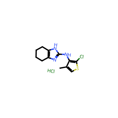 Cc1csc(Cl)c1Nc1nc2c([nH]1)CCCC2.Cl